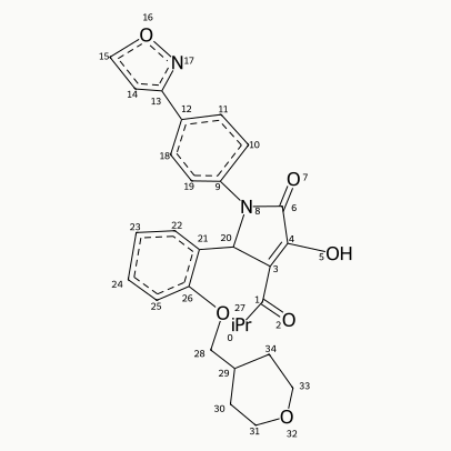 CC(C)C(=O)C1=C(O)C(=O)N(c2ccc(-c3ccon3)cc2)C1c1ccccc1OCC1CCOCC1